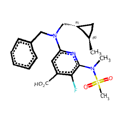 C[C@@H]1C[C@H]1CN(Cc1ccccc1)c1cc(C(=O)O)c(F)c(N(C)S(C)(=O)=O)n1